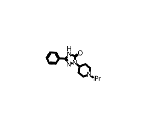 CC(C)N1CCC(n2nc(-c3ccccc3)[nH]c2=O)CC1